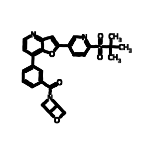 CC(C)(C)S(=O)(=O)c1ccc(-c2cc3nccc(-c4cccc(C(=O)N5CC6OCC65)c4)c3o2)cn1